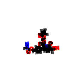 CNC(=O)OCc1ccc(C2=C(C(=O)OCOC(=O)C(C)(C)C)N3C(=O)[C@H]([C@@H](C)O)[C@H]3C2)cc1